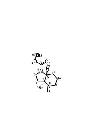 CC(C)(C)OC(=O)N1CC[C@@H]2NCCC[C@H]21